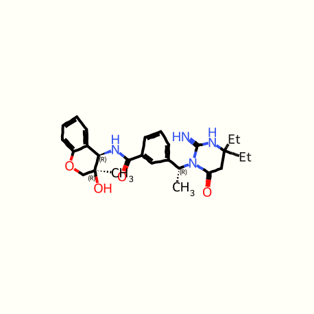 CCC1(CC)CC(=O)N([C@H](C)c2cccc(C(=O)N[C@@H]3c4ccccc4OC[C@]3(C)O)c2)C(=N)N1